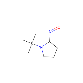 C[Si](C)(C)N1CCCC1N=O